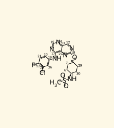 CS(=O)(=O)N[C@H]1CC[C@H](Oc2ncc3ncnc(Nc4ccc(F)c(Cl)c4)c3n2)CC1